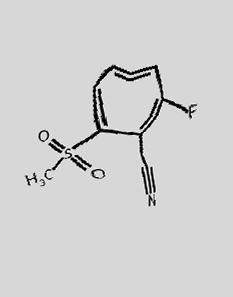 CS(=O)(=O)c1cccc(F)c1C#N